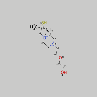 CC(C)(S)CN1CCN(CCOCCO)CC1